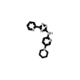 c1ccc(-c2nsc(Nc3ccc(N4CCCCC4)cn3)n2)nc1